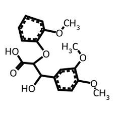 COc1ccc(C(O)C(Oc2ccccc2OC)C(=O)O)cc1OC